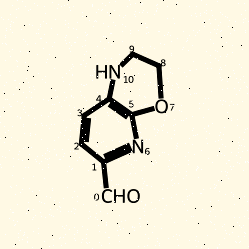 O=Cc1ccc2c(n1)OCCN2